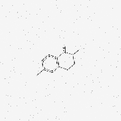 Cc1ccc2c(c1)CCC(C(C)C)N2